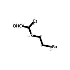 CCCCCCSC(C=O)CC